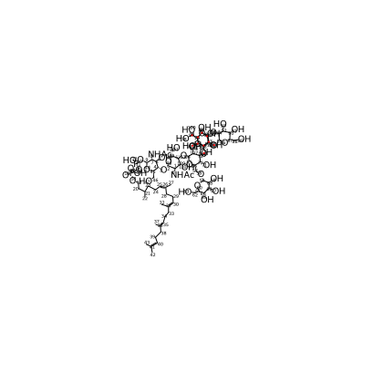 CC(=O)N[C@H]1[C@H](O[C@H]2[C@H](O)[C@@H](NC(C)=O)C(OP(=O)(O)OP(=O)(O)OCCC(C)CC/C=C(/C)CC/C=C(\C)CC/C=C(\C)CCC=C(C)C)O[C@@H]2CO)O[C@H](CO)[C@@H](O[C@@H]2O[C@H](CO[C@H]3O[C@H](CO)[C@@H](O)[C@H](O)[C@@H]3O)[C@@H](O)[C@H](O[C@H]3O[C@H](CO)[C@@H](O)[C@H](O)[C@@H]3O[C@H]3O[C@H](CO)[C@@H](O)[C@H](O)[C@@H]3O[C@H]3O[C@H](CO)[C@@H](O)[C@H](O)[C@@H]3O)[C@@H]2O)[C@@H]1O